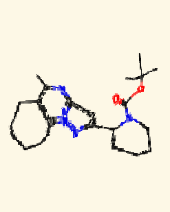 Cc1nc2cc(C3CCCCN3C(=O)OC(C)(C)C)nn2c2c1CCCC2